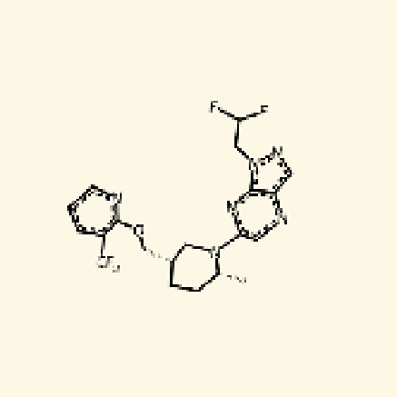 C[C@@H]1CC[C@H](COc2ncccc2C(F)(F)F)CN1c1cnc2cnn(CC(F)F)c2n1